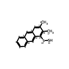 Cc1cc2cc3ccccc3cc2c(SS)c1C